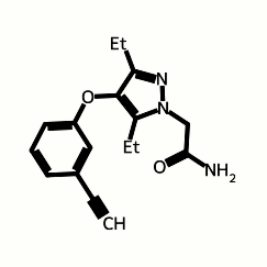 C#Cc1cccc(Oc2c(CC)nn(CC(N)=O)c2CC)c1